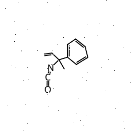 C=CC(C)(N=C=O)c1ccccc1